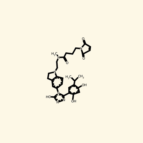 CC(C)c1cc(-c2nnc(O)n2-c2ccc3c(c2)CCN3CCN(C)C(=O)CCCN2C(=O)C=CC2=O)c(O)cc1O